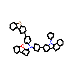 c1ccc(-n2c3cc(-c4ccc(N(c5ccc(-c6ccc7sc8ccccc8c7c6)cc5)c5cccc6c5oc5ccccc56)cc4)ccc3c3ccc4ccccc4c32)cc1